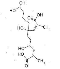 CC(=CC(O)CCC(O)(C=C(C)C(=O)O)CCCC(O)O)C(=O)O